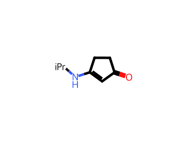 CC(C)NC1=CC(=O)CC1